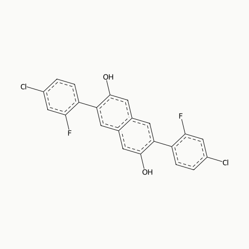 Oc1cc2cc(-c3ccc(Cl)cc3F)c(O)cc2cc1-c1ccc(Cl)cc1F